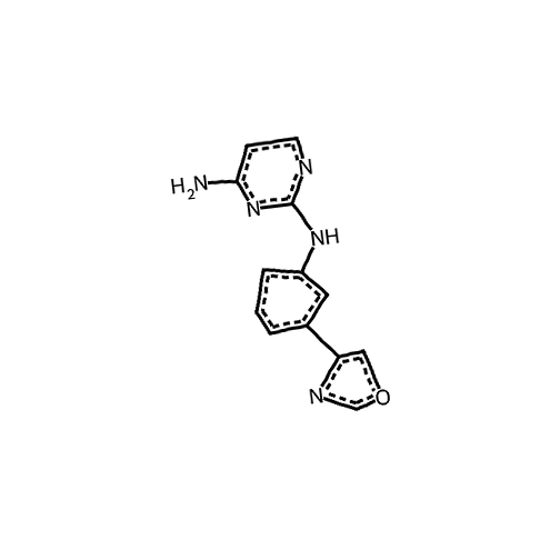 Nc1ccnc(Nc2cccc(-c3cocn3)c2)n1